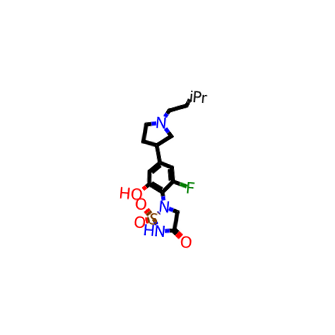 CC(C)CCN1CCC(c2cc(O)c(N3CC(=O)NS3(=O)=O)c(F)c2)C1